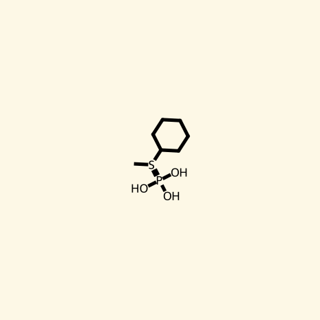 CS(C1CCCCC1)=P(O)(O)O